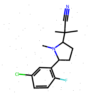 CN1C(c2cc(Cl)ccc2F)CCC1C(C)(C)C#N